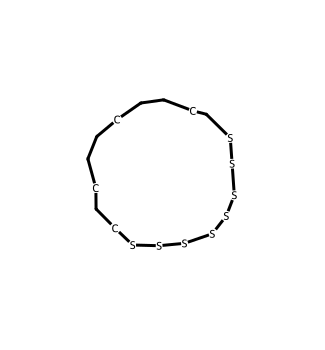 C1CCCCCSSSSSSSSCCCC1